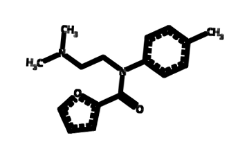 Cc1ccc(N(CCN(C)C)C(=O)c2ccco2)cc1